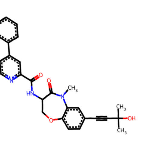 CN1C(=O)C(NC(=O)c2cc(-c3ccccc3)ccn2)COc2ccc(C#CC(C)(C)O)cc21